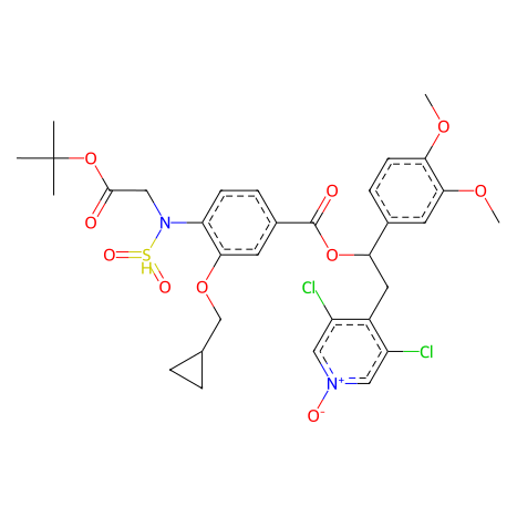 COc1ccc(C(Cc2c(Cl)c[n+]([O-])cc2Cl)OC(=O)c2ccc(N(CC(=O)OC(C)(C)C)[SH](=O)=O)c(OCC3CC3)c2)cc1OC